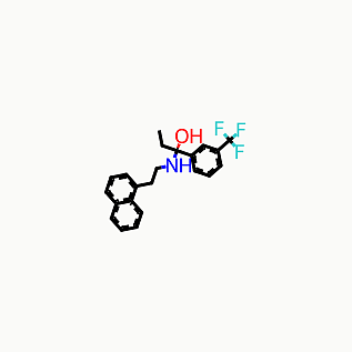 CC[C@@](O)(NCCc1cccc2ccccc12)c1cccc(C(F)(F)F)c1